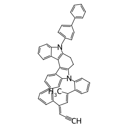 C#C/C=C(\C=C(/C)c1ccccc1-n1c2c(c3ccccc31)-c1c(n(-c3ccc(-c4ccccc4)cc3)c3ccccc13)CC2)c1ccccc1